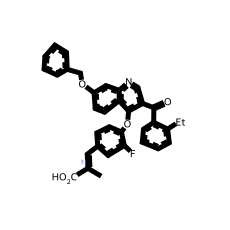 CCc1ccccc1C(=O)c1cnc2cc(OCc3ccccc3)ccc2c1Oc1ccc(/C=C(\C)C(=O)O)cc1F